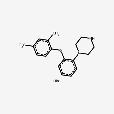 Br.Cc1cc(C(F)(F)F)ccc1Sc1ccccc1N1CCNCC1